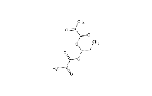 CCC(OC(=O)C(C)=O)OC(=O)C(C)=O